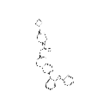 O=C(CN1CCC2CC(c3ccccc3Oc3ccccc3)=CC=C2C1)N1CCN(C2CCC2)CC1